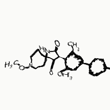 CON1CCC2(CC1)NC(=O)[C@@H](c1c(C)cc(-c3ccc(Cl)cc3)cc1C)C2=O